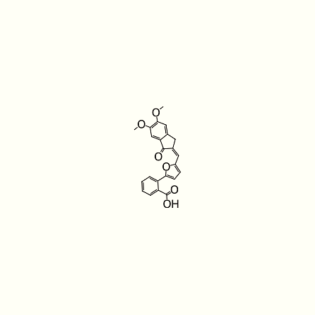 COc1cc2c(cc1OC)C(=O)C(=Cc1ccc(-c3ccccc3C(=O)O)o1)C2